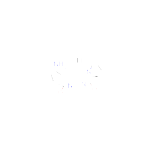 Cc1cccc(C(=O)N2CCN(C(=O)[C@H]3C=CC(N)=C3)CC2)n1